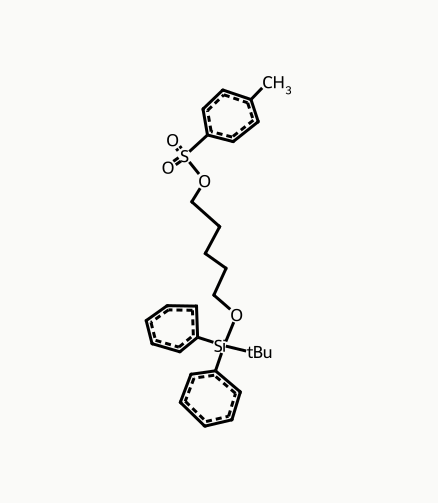 Cc1ccc(S(=O)(=O)OCCCCCO[Si](c2ccccc2)(c2ccccc2)C(C)(C)C)cc1